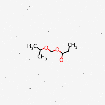 CCC([O])OCOC(C)C